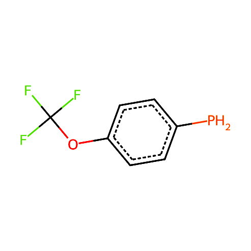 FC(F)(F)Oc1ccc(P)cc1